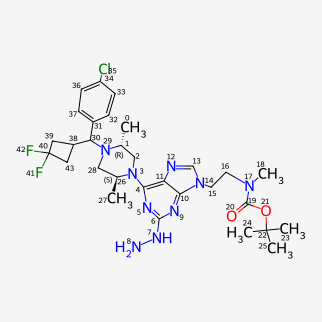 C[C@@H]1CN(c2nc(NN)nc3c2ncn3CCN(C)C(=O)OC(C)(C)C)[C@@H](C)CN1C(c1ccc(Cl)cc1)C1CC(F)(F)C1